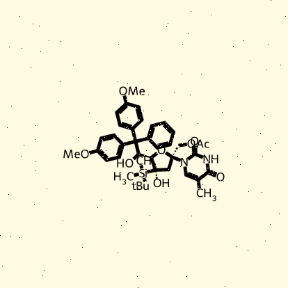 COc1ccc(C(c2ccccc2)(c2ccc(OC)cc2)C(O)[C@H]2O[C@@](COC(C)=O)(n3cc(C)c(=O)[nH]c3=O)C[C@@]2(O)[Si](C)(C)C(C)(C)C)cc1